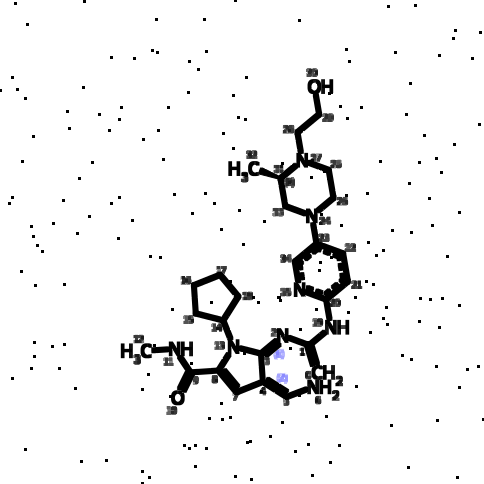 C=C(/N=C1\C(=C/N)C=C(C(=O)NC)N1C1CCCC1)Nc1ccc(N2CCN(CCO)[C@H](C)C2)cn1